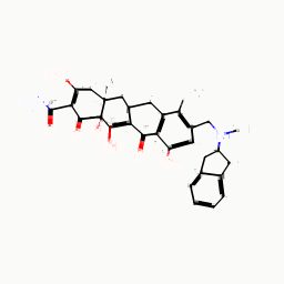 COc1c(CN(C)C2Cc3ccccc3C2)cc(O)c2c1CC1C[C@H]3CC(O)=C(C(N)=O)C(=O)[C@@]3(O)C(O)=C1C2=O